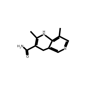 CC1=C(C(N)=O)Cc2cncc(C)c2N1